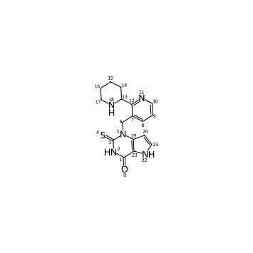 O=c1[nH]c(=S)n(Cc2cccnc2C2CCCCN2)c2cc[nH]c12